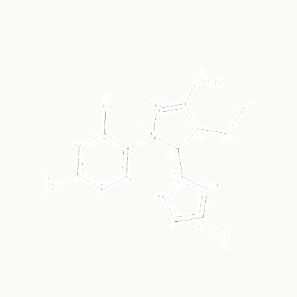 O=C(O)C1=NN(c2ccc(Cl)cc2Cl)C(c2ccc(Cl)s2)C1CF